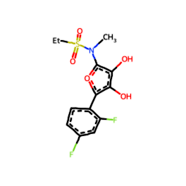 CCS(=O)(=O)N(C)c1oc(-c2ccc(F)cc2F)c(O)c1O